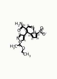 CCOC(C)n1cc(-c2c(C(N)=O)cnn3c([N+](=O)[O-])ccc23)cn1